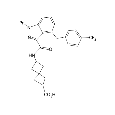 CC(C)n1nc(C(=O)NC2CC3(C2)CC(C(=O)O)C3)c2c(Cc3ccc(C(F)(F)F)cc3)cccc21